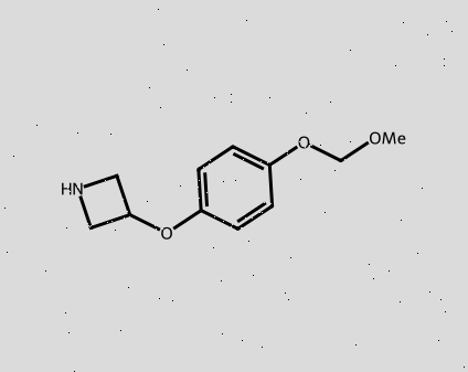 COCOc1ccc(OC2CNC2)cc1